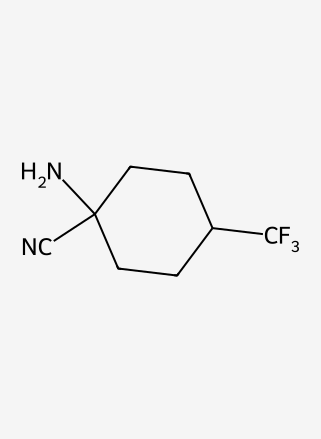 N#CC1(N)CCC(C(F)(F)F)CC1